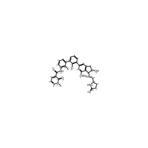 COc1nc(-c2cccc(-c3cccc(NC(=O)c4ccnn(C)c4=O)c3C)c2Cl)cc2c1C(NCC1CCC(=O)N1)C(O)C2